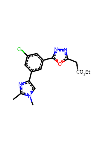 CCOC(=O)Cc1nnc(-c2cc(Cl)cc(-c3cn(C)c(C)n3)c2)o1